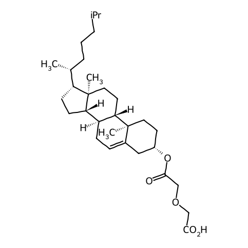 CC(C)CCC[C@@H](C)[C@H]1CC[C@H]2[C@@H]3CC=C4C[C@@H](OC(=O)COCC(=O)O)CC[C@]4(C)[C@H]3CC[C@]12C